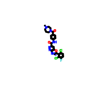 C[C@@H](Oc1cc(C(=O)Nc2ccc(C(=O)N3CCCN(C)CC3)cc2)nnc1N)c1c(Cl)ccc(F)c1Cl